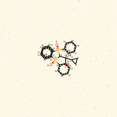 CC(C)(C1CC1)C(P(=O)(c1ccccc1)c1ccccc1)P(=O)(c1ccccc1)c1ccccc1